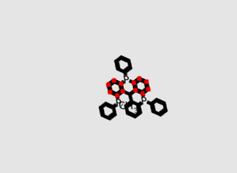 CP(c1ccccc1)c1ccccc1C(c1ccccc1P(c1ccccc1)c1ccccc1)c1ccccc1P(c1ccccc1)c1ccccc1